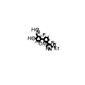 CCn1cnc2c(-c3ccc(F)c(-c4cc(C=NO)c(O)cc4OC)c3)cnnc21